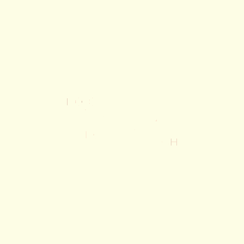 CC(=CC=CO)C(=O)O